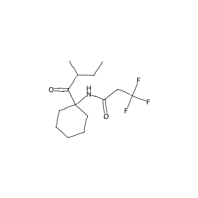 CCC(C)C(=O)C1(NC(=O)CC(F)(F)F)CCCCC1